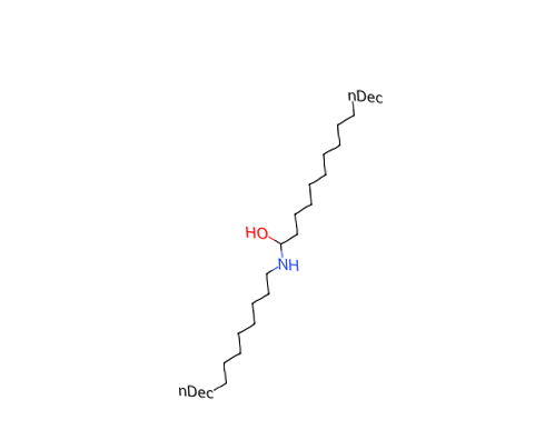 CCCCCCCCCCCCCCCCCCCC(O)NCCCCCCCCCCCCCCCCCC